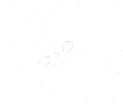 CCCCN(CCCC)C(=Cc1ccccc1)c1cc(OC)ccc1OC